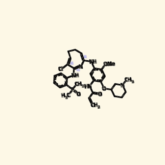 C=CC(=O)Nc1cc(NC2=C/CC/C=C(Cl)/C(Nc3ccccc3P(C)(C)=O)=N\2)c(OC)cc1OC1CCCN(C)C1